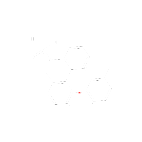 Cc1cccc(C)c1-c1cccc(OP(=O)(O)O)c1-c1c(C)cccc1C